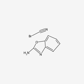 N#CBr.Nc1nc2ccccc2o1